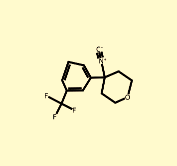 [C-]#[N+]C1(c2cccc(C(F)(F)F)c2)CCOCC1